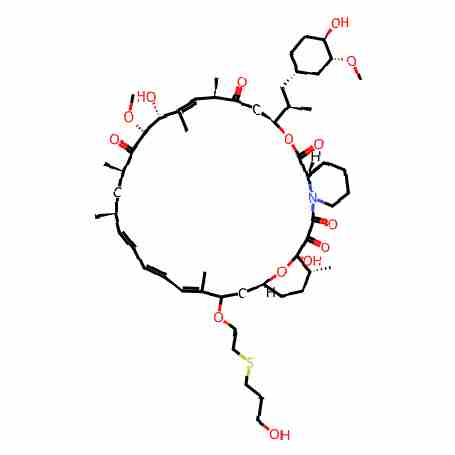 CO[C@@H]1C[C@H](C[C@@H](C)[C@@H]2CC(=O)[C@H](C)/C=C(\C)[C@@H](O)[C@@H](OC)C(=O)[C@H](C)C[C@H](C)/C=C/C=C/C=C(\C)C(OCCSCCCO)C[C@@H]3CC[C@@H](C)[C@@](O)(O3)C(=O)C(=O)N3CCCC[C@H]3C(=O)O2)CC[C@H]1O